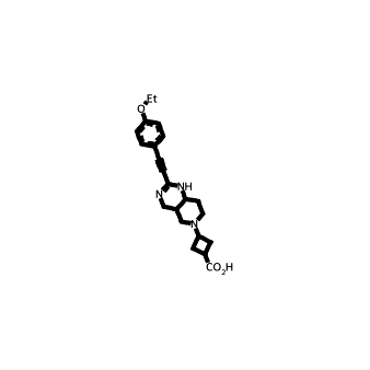 CCOc1ccc(C#CC2=NCC3CN(C4CC(C(=O)O)C4)CCC3N2)cc1